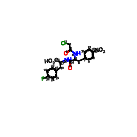 O=C(CCl)NC(Cc1ccc([N+](=O)[O-])cc1)C(=O)NC(Cc1ccc(F)cc1)C(=O)O